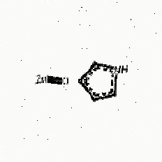 [O]=[Zn].c1cc[nH]c1